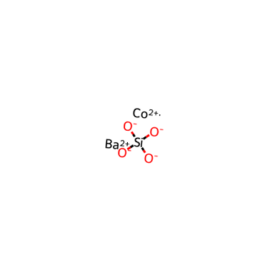 [Ba+2].[Co+2].[O-][Si]([O-])([O-])[O-]